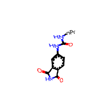 CCCNC(=O)Nc1ccc2c(c1)C(=O)NC2=O